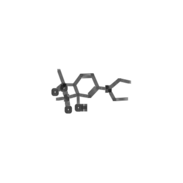 CCN(CC)C1=CC(O)(S(C)(=O)=O)C(C(C)=O)C=C1